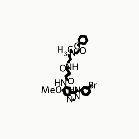 COc1cc2ncnc(Nc3cccc(Br)c3)c2cc1NC(=O)C=CC(=O)NCCCN(C)CC(=O)OC1CCCCC1